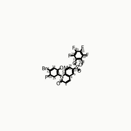 COC1=C(n2c(=O)ccc3cc(S(=O)(=O)Oc4c(F)c(F)c(F)c(F)c4F)ccc32)CC(F)C(Br)=C1